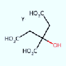 O=C(O)CC(O)(CC(=O)O)C(=O)O.[Y]